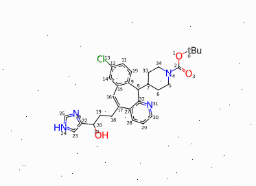 CC(C)(C)OC(=O)N1CCC(C2c3ccc(Cl)cc3C=C(CCC(O)c3c[nH]cn3)c3cccnc32)CC1